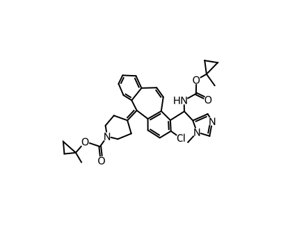 Cn1cncc1C(NC(=O)OC1(C)CC1)c1c(Cl)ccc2c1C=Cc1ccccc1C2=C1CCN(C(=O)OC2(C)CC2)CC1